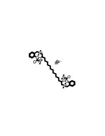 CN(C)C(=O)Oc1ccccc1C[N+](C)(C)CC(=O)CCCCCCCCCCCCC(=O)C[N+](C)(C)Cc1ccccc1OC(=O)N(C)C.[Br-].[Br-]